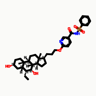 CC[C@H]1[C@@H](O)[C@@H]2[C@H](CC[C@]3(C)[C@@H](CCCOc4ccc(C(=O)NS(=O)(=O)c5ccccc5)cn4)CC[C@@H]23)[C@@]2(C)CC[C@@H](O)C[C@@H]12